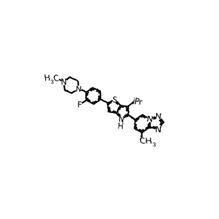 Cc1cc(-c2[nH]c3cc(-c4ccc(N5CCN(C)CC5)c(F)c4)sc3c2C(C)C)cn2ncnc12